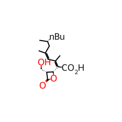 CCCC[C@@H](C)CC(C)=CC(C)=C(C(=O)O)[C@@H]1OC(=O)[C@@H]1CO